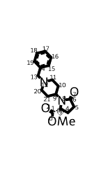 COC(=O)[C@H]1CCC(=O)N1C1CCN(Cc2ccccc2)CC1